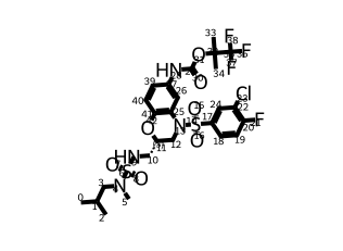 CC(C)CN(C)S(=O)(=O)NC[C@H]1CN(S(=O)(=O)c2ccc(F)c(Cl)c2)c2cc(NC(=O)OC(C)(C)C(F)(F)F)ccc2O1